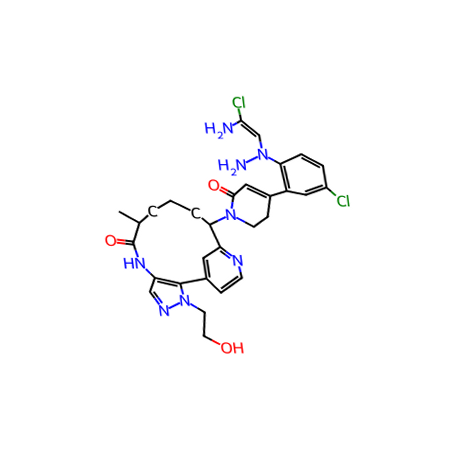 CC1CCCC(N2CCC(c3cc(Cl)ccc3N(N)/C=C(\N)Cl)=CC2=O)c2cc(ccn2)-c2c(cnn2CCO)NC1=O